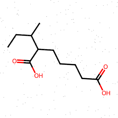 CCC(C)C(CCCCC(=O)O)C(=O)O